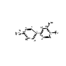 Fc1ccc(-c2ccc(S)cc2)cc1F